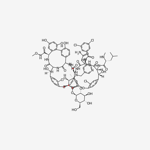 CN[C@H](CC(C)C)C(=O)N[C@H]1C(=O)N[C@@H](CC(N)=O)C(=O)N[C@H]2C(=O)N[C@H]3C(=O)N[C@H](C(=O)N[C@@H](C(=O)NOC)c4cc(O)cc(O)c4-c4cc3ccc4O)[C@H](O)c3ccc(c(Cl)c3)Oc3cc2cc(c3O[C@@H]2O[C@H](CO)[C@@H](O)[C@H](O)[C@H]2O[C@H]2C[C@](C)(NCc3cncc(NC(=O)c4cc(Cl)cc(Cl)c4)c3)[C@H](O)[C@H](C)O2)Oc2ccc(cc2Cl)[C@H]1O